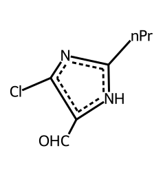 CCCc1nc(Cl)c(C=O)[nH]1